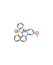 COc1ccc2nc(P(=O)(c3ccccc3)c3ccccc3)c3ccccc3c2c1